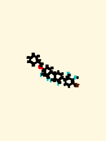 Fc1c(Br)ccc(-c2ccc(-c3ccc(OCc4ccccc4)c(F)c3F)c(F)c2F)c1F